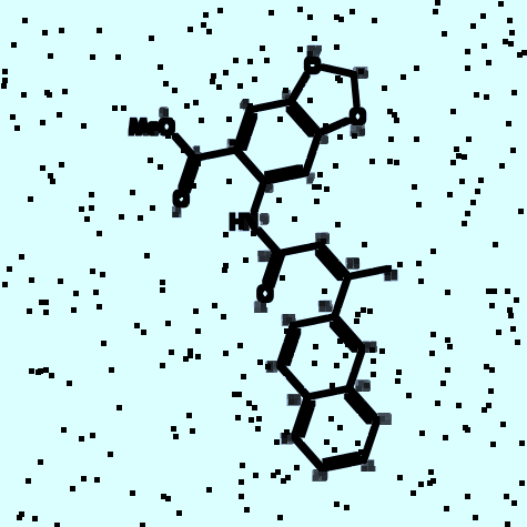 COC(=O)c1cc2c(cc1NC(=O)/C=C(/C)c1ccc3ccccc3c1)OCO2